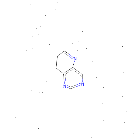 C1=Nc2cncnc2CC1